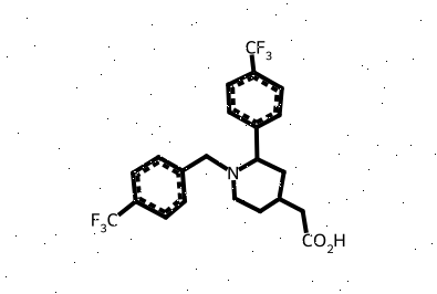 O=C(O)CC1CCN(Cc2ccc(C(F)(F)F)cc2)C(c2ccc(C(F)(F)F)cc2)C1